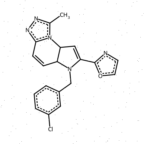 Cc1nnc2n1C1C=C(c3ncco3)N(Cc3cccc(Cl)c3)C1C=C2